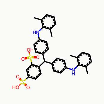 Cc1cccc(C)c1Nc1ccc(C(c2ccc(Nc3c(C)cccc3C)cc2)c2ccc(S(=O)(=O)O)cc2S(=O)(=O)O)cc1